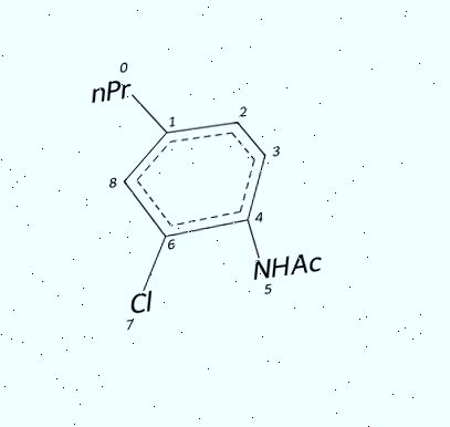 CCCc1ccc(NC(C)=O)c(Cl)c1